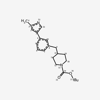 Cn1cc(-c2cccc(CC3CCN(C(=O)OC(C)(C)C)CC3)c2)cn1